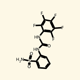 NS(=O)(=O)c1ccccc1NC(=O)Nc1c(F)c(F)c(F)c(F)c1F